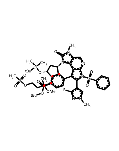 COC(C)(CCOS(C)(=O)=O)c1ccc(-c2c(-c3cn(C)nc3F)n(S(=O)(=O)c3ccccc3)c3ncc4c(c23)n([C@H]2C[C@H](NC(=O)OC(C)(C)C)[C@H](O[Si](C)(C)C(C)(C)C)C2)c(=O)n4C)cc1